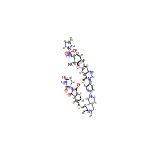 CN(CC1CCN(c2ccc(-n3cnc4ccc(Oc5c(F)ccc(NS(=O)(=O)N6CC[C@@H](F)C6)c5C#N)cc4c3=O)cn2)CC1)[C@H]1C[C@H](Oc2ccc3c(c2)C(=O)N(C2CCC(=O)NC2=O)C3=O)C1